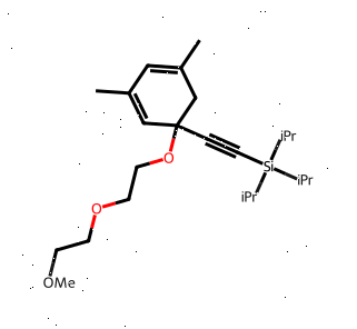 COCCOCCOC1(C#C[Si](C(C)C)(C(C)C)C(C)C)C=C(C)C=C(C)C1